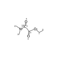 CCOC(=O)[13C](=O)N(C)C